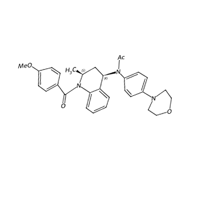 COc1ccc(C(=O)N2c3ccccc3[C@H](N(C(C)=O)c3ccc(N4CCOCC4)cc3)C[C@@H]2C)cc1